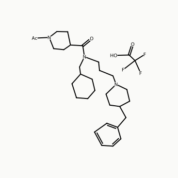 CC(=O)N1CCC(C(=O)N(CCCN2CCC(Cc3ccccc3)CC2)CC2CCCCC2)CC1.O=C(O)C(F)(F)F